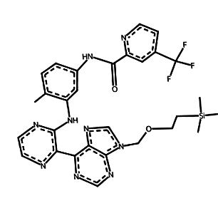 Cc1ccc(NC(=O)c2cc(C(F)(F)F)ccn2)cc1Nc1nccnc1-c1ncnc2c1ncn2COCC[Si](C)(C)C